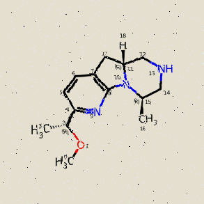 CO[C@H](C)c1ccc2c(n1)N1[C@@H](CNC[C@H]1C)C2